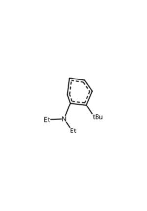 CCN(CC)c1ccccc1C(C)(C)C